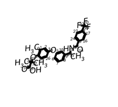 Cc1cc(Oc2cccc([C@@H](C)NC(=O)c3ccc(C(F)(F)F)cc3)c2)ccc1OC(C)(C)C(=O)O